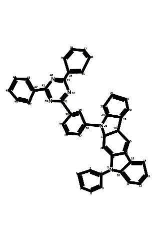 C1=c2c(n(-c3ccccc3)c3ccccc23)=CC2C1c1ccccc1N2c1cccc(-c2nc(-c3ccccc3)nc(-c3ccccc3)n2)c1